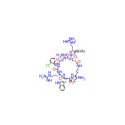 C=C(N)[C@@H]1CCCNC(=O)CC[C@H](NC(=O)[C@H](CCCNC(=N)N)NC(C)=O)C(=O)N[C@@H](CN)C(=O)N[C@H](Cc2ccccc2Cl)C(=O)N[C@@H](CCCNC(=N)N)C(=O)N[C@@H](Cc2c[nH]c3ccccc23)C(=O)N1